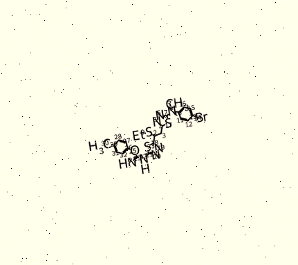 CCSC(Cc1nnc(N(C)c2ccc(Br)cc2)s1)c1nnc(NC(=N)Oc2ccc(C)cc2)s1